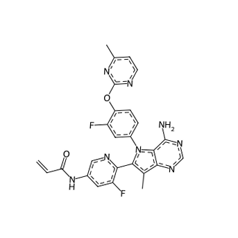 C=CC(=O)Nc1cnc(-c2c(C)c3ncnc(N)c3n2-c2ccc(Oc3nccc(C)n3)c(F)c2)c(F)c1